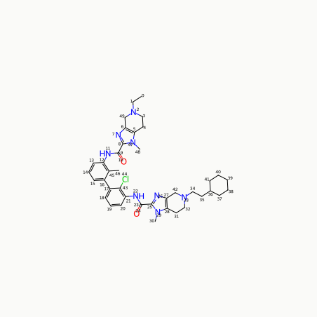 CCN1CCc2c(nc(C(=O)Nc3cccc(-c4cccc(NC(=O)c5nc6c(n5C)CCN(CCC5CCCCC5)C6)c4Cl)c3C)n2C)C1